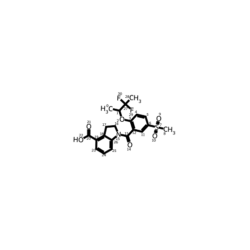 CC(Oc1ccc(S(C)(=O)=O)cc1C(=O)N1CCc2c(C(=O)O)cccc21)C(C)(F)F